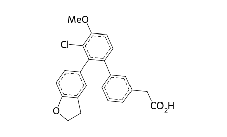 COc1ccc(-c2cccc(CC(=O)O)c2)c(-c2ccc3c(c2)CCO3)c1Cl